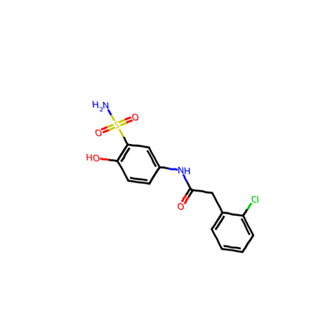 NS(=O)(=O)c1cc(NC(=O)Cc2ccccc2Cl)ccc1O